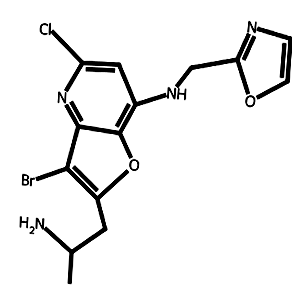 CC(N)Cc1oc2c(NCc3ncco3)cc(Cl)nc2c1Br